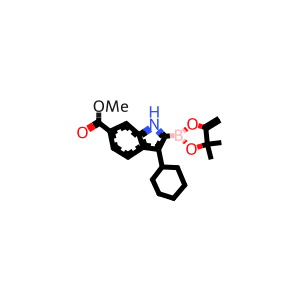 C=C1OB(c2[nH]c3cc(C(=O)OC)ccc3c2C2CCCCC2)OC1(C)C